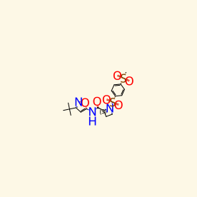 CC(C)(C)c1cc(NC(=O)[C@@H]2CCN2S(=O)(=O)c2ccc(S(C)(=O)=O)cc2)on1